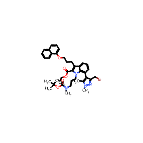 CCOC(=O)c1c(CCCOc2cccc3ccccc23)c2cccc(-c3c(CBr)nn(C)c3C)c2n1CCCN(C)C(=O)OC(C)(C)C